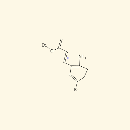 C=C(/C=C/C1=C(N)CCC(Br)=C1)OCC